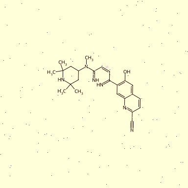 CN(C(=N)/C=C\C(=N)c1cc2nc(C#N)ccc2cc1O)C1CC(C)(C)NC(C)(C)C1